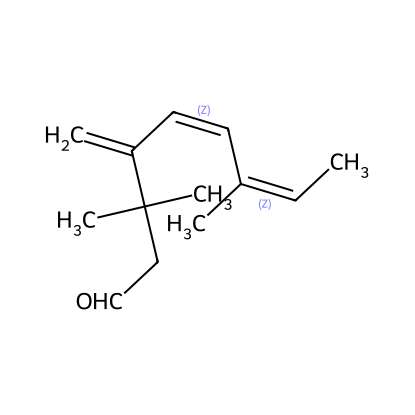 C=C(/C=C\C(C)=C/C)C(C)(C)CC=O